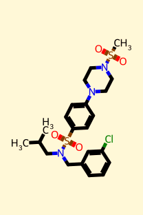 CC(C)CN(Cc1cccc(Cl)c1)S(=O)(=O)c1ccc(N2CCN(S(C)(=O)=O)CC2)cc1